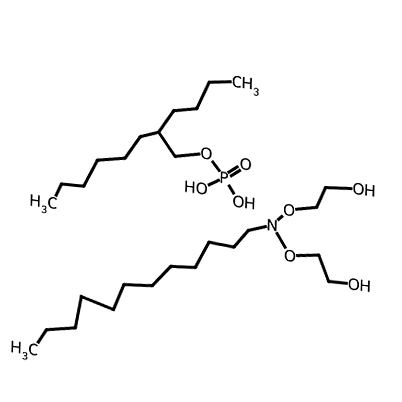 CCCCCCC(CCCC)COP(=O)(O)O.CCCCCCCCCCCCN(OCCO)OCCO